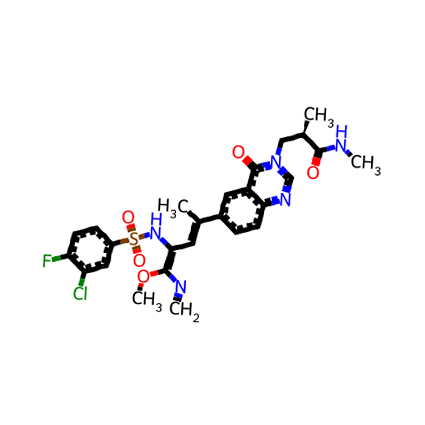 C=N/C(OC)=C(\C=C(/C)c1ccc2ncn(C[C@@H](C)C(=O)NC)c(=O)c2c1)NS(=O)(=O)c1ccc(F)c(Cl)c1